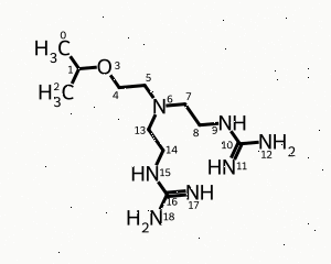 CC(C)OCCN(CCNC(=N)N)CCNC(=N)N